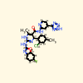 CC1=C(C(=O)Nc2cc(-c3nn[nH]n3)ccn2)C(c2ccc(C)cc2Cl)N=C(Nc2nc3ccc(F)cc3o2)N1